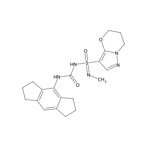 CN=S(=O)(NC(=O)Nc1c2c(cc3c1CCC3)CCC2)c1cnn2c1OCCC2